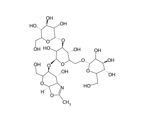 CC1=NC2[C@@H](O1)OC(CO)[C@@H](O[C@@H]1OC(CO[C@H]3OC(CO)[C@@H](O)[C@H](O)C3O)[C@@H](O)[C@H](O[C@@H]3OC(CO)[C@H](O)[C@@H](O)C3O)C1O)[C@@H]2O